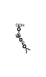 CCCC(CCC)c1ccc(COc2ccc(-c3csc(CSc4ccc(C(=O)O)cc4)n3)cc2)cc1